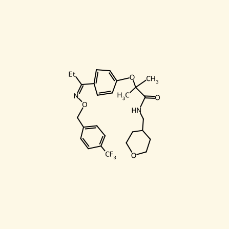 CCC(=NOCc1ccc(C(F)(F)F)cc1)c1ccc(OC(C)(C)C(=O)NCC2CCOCC2)cc1